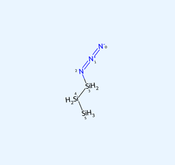 [N-]=[N+]=N[SiH2][SiH2][SiH3]